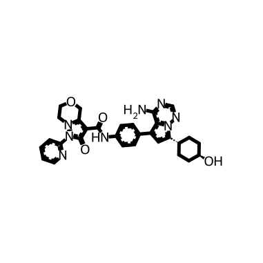 Nc1ncnn2c1c(-c1ccc(NC(=O)c3c4n(n(-c5ccccn5)c3=O)CCOC4)cc1)cc2[C@H]1CC[C@H](O)CC1